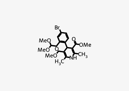 COC(=O)C1=C(C)NC(C)=C(C(=O)OC)C1c1ccc(Br)cc1CC(OC)OC